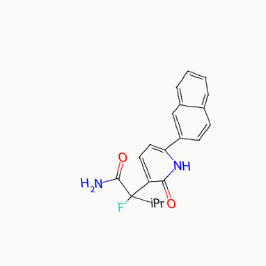 CC(C)C(F)(C(N)=O)c1ccc(-c2ccc3ccccc3c2)[nH]c1=O